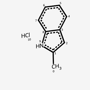 Cc1cc2ccccc2[nH]1.Cl